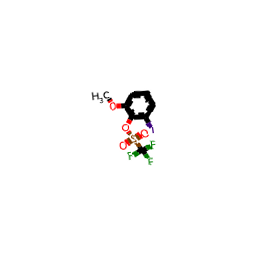 COc1cccc(I)c1OS(=O)(=O)C(F)(F)F